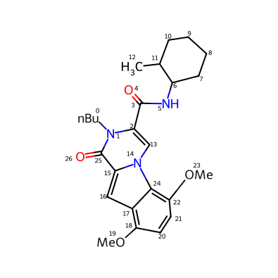 CCCCn1c(C(=O)NC2CCCCC2C)cn2c(cc3c(OC)ccc(OC)c32)c1=O